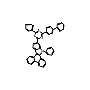 c1ccc(-c2ccc(-c3nc(-c4ccccc4)nc(-c4ccc5c6c7ccccc7c7ccccc7c6n(-c6ccccc6)c5c4)n3)cc2)cc1